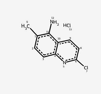 Cc1ccc2nc(Cl)ccc2c1N.Cl